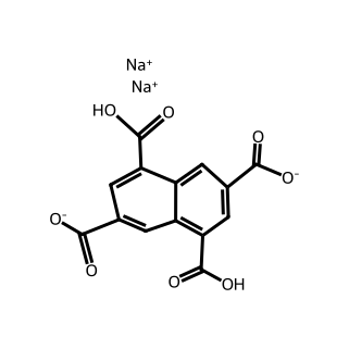 O=C([O-])c1cc(C(=O)O)c2cc(C(=O)[O-])cc(C(=O)O)c2c1.[Na+].[Na+]